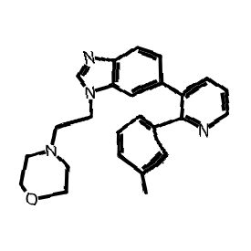 Cc1cccc(-c2ncccc2-c2ccc3ncn(CCN4CCOCC4)c3c2)c1